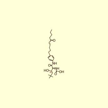 CCCCC(=O)CCCCCc1ccc(NC(=O)[C@@H](NC(=O)O)[C@H](O)CC(C)(C)C)cc1